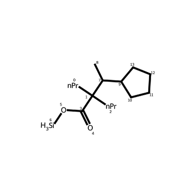 CCCC(CCC)(C(=O)O[SiH3])C(C)C1CCCC1